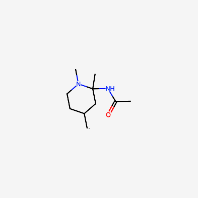 [CH2]C1CCN(C)C(C)(NC(C)=O)C1